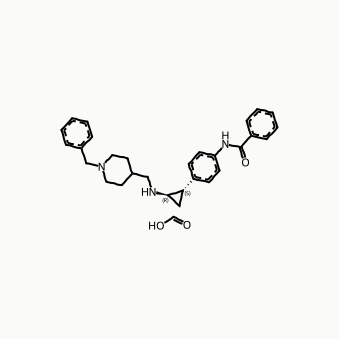 O=C(Nc1ccc([C@@H]2C[C@H]2NCC2CCN(Cc3ccccc3)CC2)cc1)c1ccccc1.O=CO